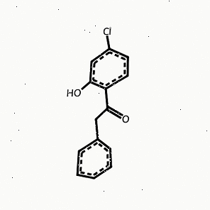 O=C(Cc1ccccc1)c1ccc(Cl)cc1O